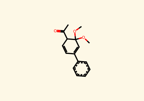 COC1(OC)C=C(c2ccccc2)C=CC1C(C)=O